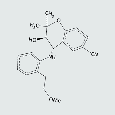 COCCc1ccccc1N[C@H]1c2cc(C#N)ccc2OC(C)(C)[C@@H]1O